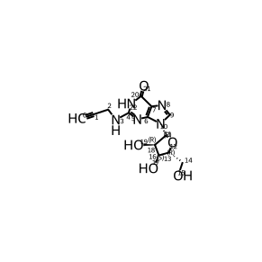 C#CCNc1nc2c(ncn2[C@@H]2O[C@H](CO)[C@@H](O)[C@H]2O)c(=O)[nH]1